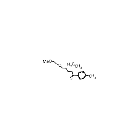 C=C.COCCOCCCCC(=S)c1ccc(C)cc1